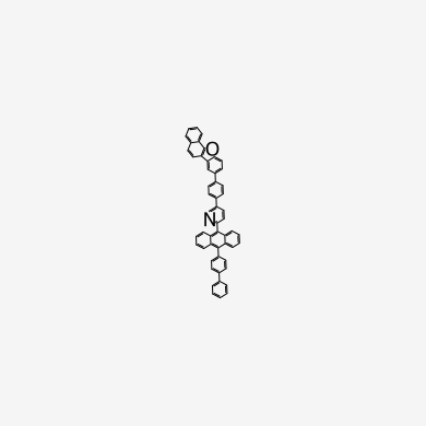 c1ccc(-c2ccc(-c3c4ccccc4c(-c4ccc(-c5ccc(-c6ccc7oc8c9ccccc9ccc8c7c6)cc5)cn4)c4ccccc34)cc2)cc1